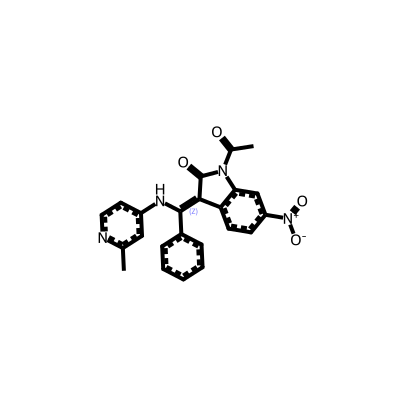 CC(=O)N1C(=O)/C(=C(\Nc2ccnc(C)c2)c2ccccc2)c2ccc([N+](=O)[O-])cc21